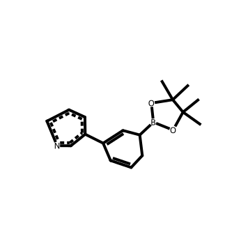 CC1(C)OB(C2C=C(c3cccnc3)C=CC2)OC1(C)C